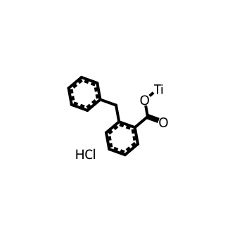 Cl.O=C([O][Ti])c1ccccc1Cc1ccccc1